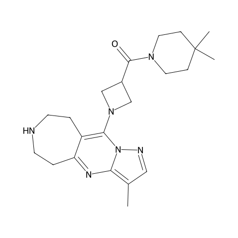 Cc1cnn2c(N3CC(C(=O)N4CCC(C)(C)CC4)C3)c3c(nc12)CCNCC3